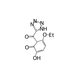 CCOC1=CC=C(O)C(=O)C1C(=O)c1nnn[nH]1